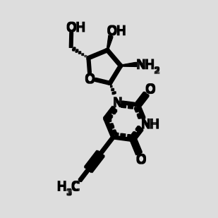 CC#Cc1cn([C@@H]2O[C@H](CO)[C@@H](O)[C@H]2N)c(=O)[nH]c1=O